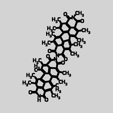 Cc1c2c3c(c(C)c(C)c4c5c(C)c(C)c6c7c(c(C)c(C)c(c(c1C)c34)c75)C(=O)N(N1C(=O)c3c(C)c(C)c4c5c(C)c(C)c7c8c(c(C)c(C)c(c9c(C)c(C)c(c3c49)C1=O)c85)C(=O)N(C)C7=O)C6=O)C(=O)NC2=O